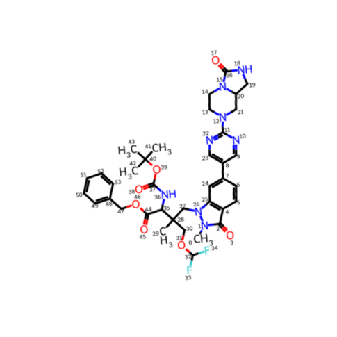 Cn1c(=O)c2ccc(-c3cnc(N4CCN5C(=O)NCC5C4)nc3)cc2n1CC(C)(COC(F)F)C(NC(=O)OC(C)(C)C)C(=O)OCc1ccccc1